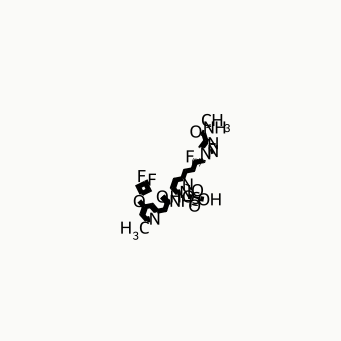 CNC(=O)c1cn(C[C@H](F)CCc2ccc(NC(=O)Cc3cc(OC4CC(F)(F)C4)cc(C)n3)nn2)nn1.O=S(=O)(O)O